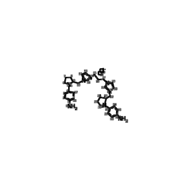 Nc1ccc(N2CCCC2Cn2cc[n+](CCCn3cc[n+](CC4CCCN4c4ccc(N)cc4)c3)c2)cc1.[Cl-].[Cl-]